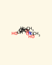 C[C@H](OCC(=O)N1CCC(C)(CO)CC1)[C@H]1CC[C@H]2[C@@H]3CC=C4C[C@@H](O)CC[C@]4(C)[C@H]3CC[C@]12C